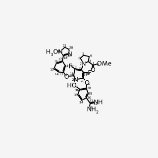 COC(=O)C1CCCN1c1c(F)c(Oc2cccc(C3=NCCN3C)c2)nc(Oc2cc(C(=N)N)ccc2O)c1F